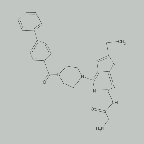 CCc1cc2c(N3CCN(C(=O)c4ccc(-c5ccccc5)cc4)CC3)nc(NC(=O)CN)nc2s1